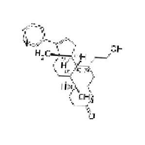 C[C@]12CCC(=O)CC1C[C@@H](CCO)[C@@H]1[C@@H]2CC[C@]2(C)C(c3cccnc3)=CC[C@@H]12